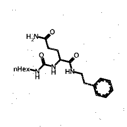 CCCCCCNC(=O)NC(CCC(N)=O)C(=O)NCCc1ccccc1